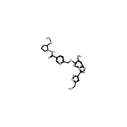 CC(C)(C)c1cc2nnc(-c3cc(CO)on3)n2nc1OCc1ccc(C(=O)N[C@H]2CCCC2SO)cn1